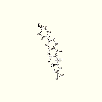 Cc1cc2c(c(C)c1NC(=O)CC1(C)CC1)CCN(c1ccc(F)cc1)C2